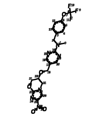 CN(Cc1ccc(OC(F)(F)F)cc1)c1ncc(CO[C@@H]2COc3nc([N+](=O)[O-])cn3C2)cn1